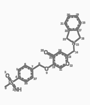 CS(=N)(=O)c1ccc(COc2coc(CN3Cc4ccccc4C3)cc2=O)cc1